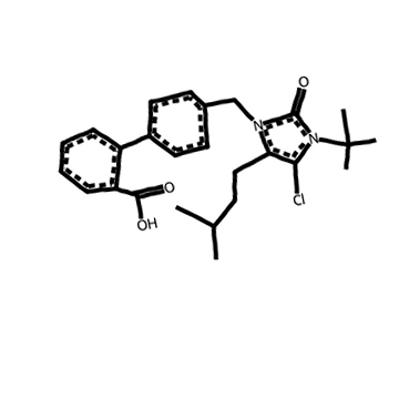 CC(C)CCc1c(Cl)n(C(C)(C)C)c(=O)n1Cc1ccc(-c2ccccc2C(=O)O)cc1